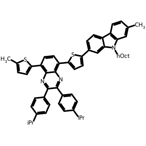 CCCCCCCCn1c2cc(C)ccc2c2ccc(-c3ccc(-c4ccc(-c5ccc(C)s5)c5nc(-c6ccc(C(C)C)cc6)c(-c6ccc(C(C)C)cc6)nc45)s3)cc21